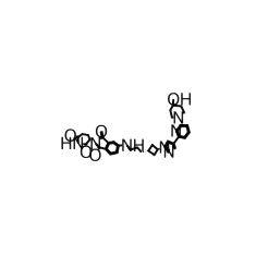 O=C1CCC(N2C(=O)c3ccc(NCCC[C@H]4C[C@H](n5cc(-c6cccc(N7CCC(O)CC7)n6)cn5)C4)cc3C2=O)C(=O)N1